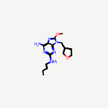 CCCCNc1nc(N)c2nc(OC)n(CC3CCOC3)c2n1